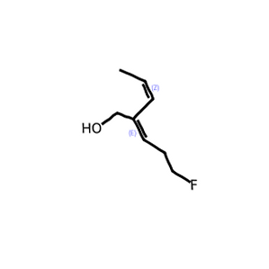 C/C=C\C(=C/CCF)CO